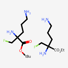 CC(C)(C)OC(=O)C(N)(CF)CCCN.CCOC(=O)C(N)(CF)CCCN